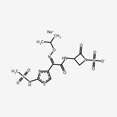 CC(C)ON=C(C(=O)NC1CN(S(=O)(=O)[O-])C1=O)c1csc(NS(C)(=O)=O)n1.[Na+]